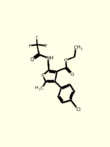 CCOC(=O)c1c(NC(=O)C(F)(F)F)sc(C)c1-c1ccc(Cl)cc1